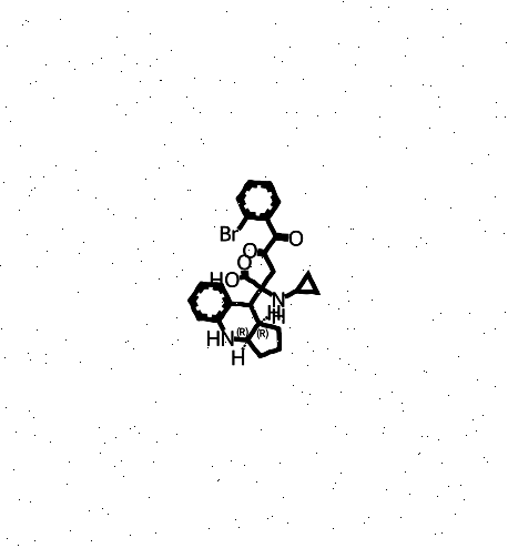 O=C(CC(NC1CC1)(C(=O)O)C1c2ccccc2N[C@@H]2CCC[C@H]12)C(=O)c1ccccc1Br